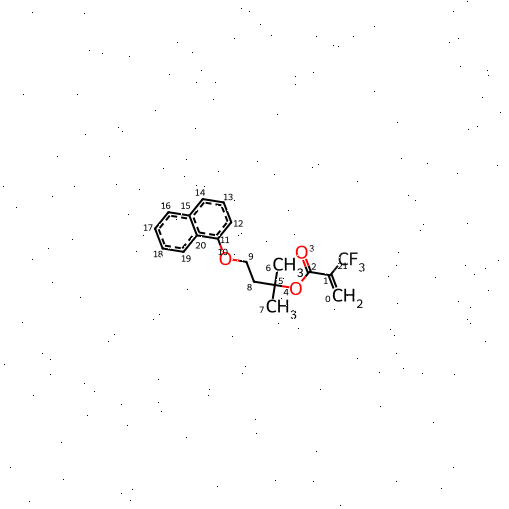 C=C(C(=O)OC(C)(C)CCOc1cccc2ccccc12)C(F)(F)F